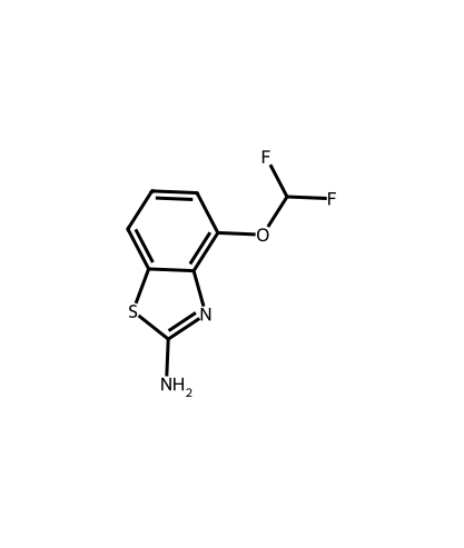 Nc1nc2c(OC(F)F)cccc2s1